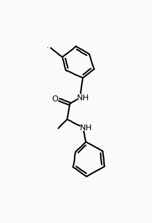 [CH2]c1cccc(NC(=O)C(C)Nc2ccccc2)c1